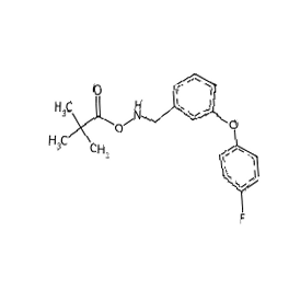 CC(C)(C)C(=O)ONCc1cccc(Oc2ccc(F)cc2)c1